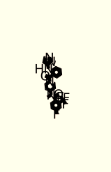 CN(C(=O)c1ccc(F)cc1C(F)(F)F)C1CCN(C(=O)c2ccccc2Nc2ccnn2C)CC1